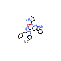 CCc1ccc(Cn2c(CCc3ccccc3)nnc2C(Cc2c[nH]c3ccccc23)NC(=O)C2CCCN2)cc1